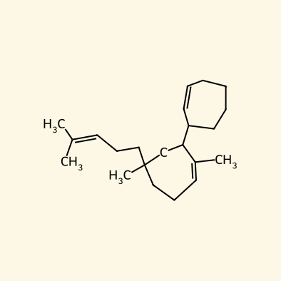 CC(C)=CCCC1(C)CCC=C(C)C(C2C=CCCCC2)C1